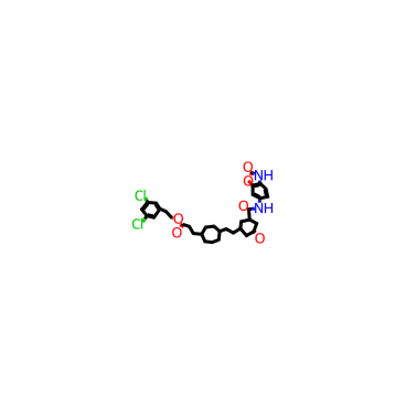 O=C1CC(CCC2CCCC(CCC(=O)OCCc3cc(Cl)cc(Cl)c3)CC2)CC(C(=O)Nc2ccc3[nH]c(=O)oc3c2)C1